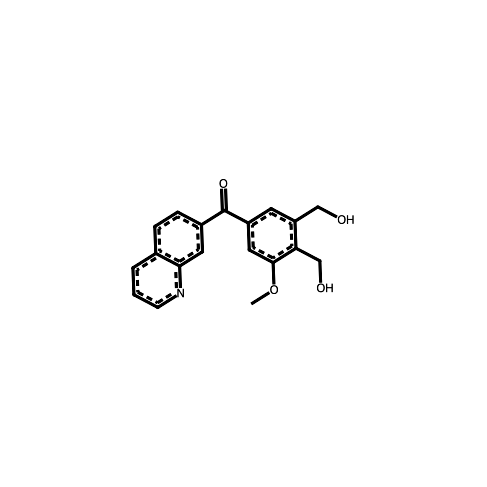 COc1cc(C(=O)c2ccc3cccnc3c2)cc(CO)c1CO